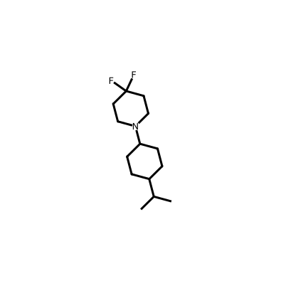 CC(C)C1CCC(N2CCC(F)(F)CC2)CC1